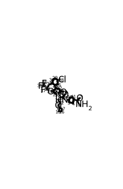 NC(=O)c1ccc(NC(=O)[C@H](CCOC2CCC2)n2cc3c(cc2=O)-c2cc(Cl)ccc2C[C@@H](C(F)(F)F)CO3)cc1